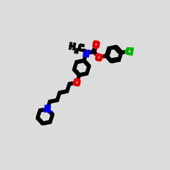 CN(C(=O)Oc1ccc(Cl)cc1)C1CCC(OCCCCCN2CCCCC2)CC1